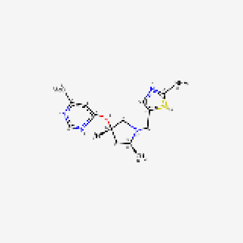 [2H][C@]1(Oc2cc(OC)ncn2)C[C@H](C)N(Cc2cnc(NC(C)=O)s2)C1